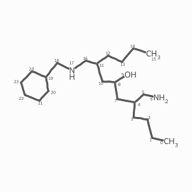 CCCCC(CN)CC(O)CC(CCCC)CNCC1CCCCC1